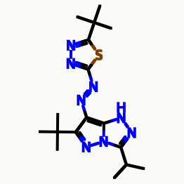 CC(C)c1n[nH]c2c(N=Nc3nnc(C(C)(C)C)s3)c(C(C)(C)C)nn12